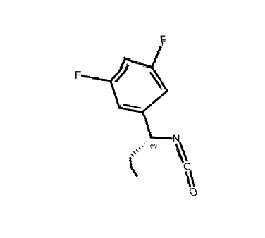 CC[C@@H](N=C=O)c1cc(F)cc(F)c1